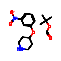 CC(C)(C)OC=O.O=[N+]([O-])c1cccc(OC2CCNCC2)c1